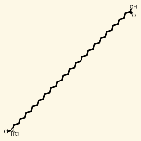 O=C(O)CCCCCCCCCCCCCCCCCCCCCCCCCCCCCCCCCCCCC[SiH](Cl)Cl